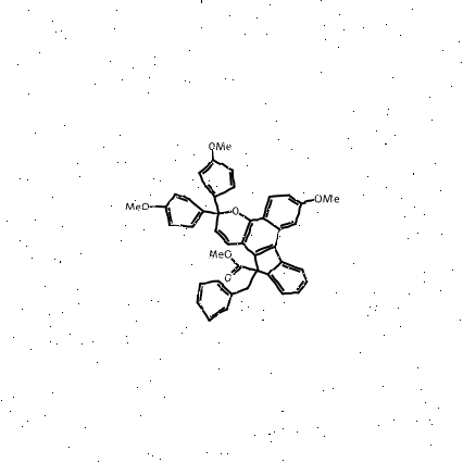 COC(=O)C1(Cc2ccccc2)c2ccccc2-c2c1c1c(c3ccc(OC)cc23)OC(c2ccc(OC)cc2)(c2ccc(OC)cc2)C=C1